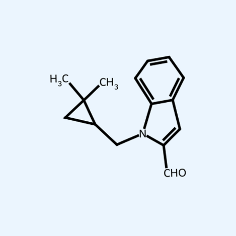 CC1(C)CC1Cn1c(C=O)cc2ccccc21